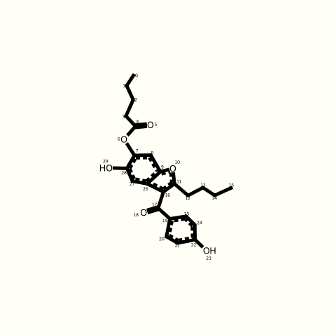 CCCCC(=O)Oc1cc2oc(CCCC)c(C(=O)c3ccc(O)cc3)c2cc1O